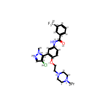 CC(C)N1CCN(CCOc2ccc(NC(=O)c3cccc(C(F)(F)F)c3)cc2-c2c(Cl)cnn2C)CC1